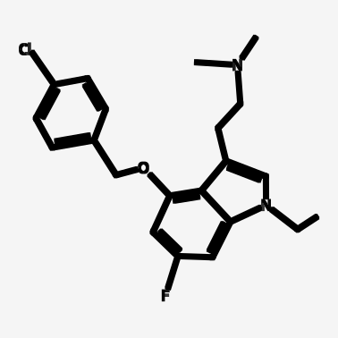 CCn1cc(CCN(C)C)c2c(OCc3ccc(Cl)cc3)cc(F)cc21